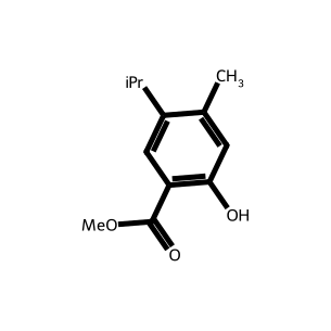 COC(=O)c1cc(C(C)C)c(C)cc1O